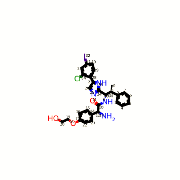 C[C@@H](c1ccccc1)[C@H](NC(=O)C(N)c1ccc(OCCO)cc1)c1ncc(-c2ccc(I)cc2Cl)[nH]1